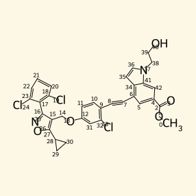 COC(=O)c1cc(C#Cc2ccc(OCc3c(-c4c(Cl)cccc4Cl)noc3C3CC3)cc2Cl)c2ccn(CCO)c2c1